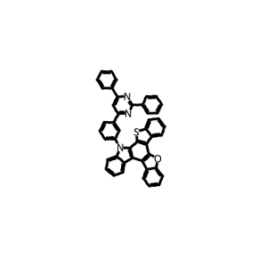 c1ccc(-c2cc(-c3cccc(-n4c5ccccc5c5c6c7ccccc7oc6c6c7ccccc7sc6c54)c3)nc(-c3ccccc3)n2)cc1